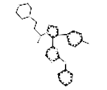 C[C@@H](CCN1CCOCC1)n1cnc(-c2ccc(F)cc2)c1-c1ccnc(Oc2ccccc2)n1